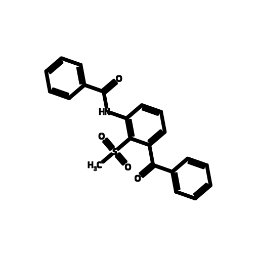 CS(=O)(=O)c1c(NC(=O)c2ccccc2)cccc1C(=O)c1ccccc1